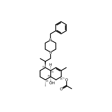 CC(=O)O[C@@H]1[CH][C@@]2(O)[C@H](C)CC[C@@H](C(C)CN3CCN(Cc4ccccc4)CC3)[C@H]2C=C1C